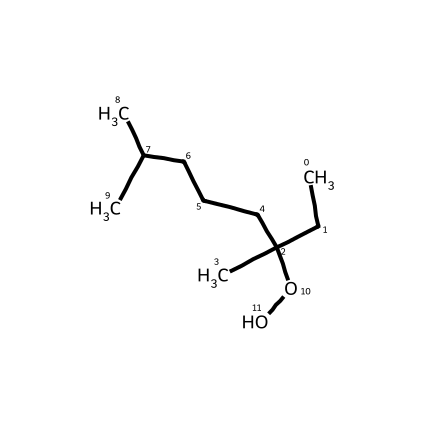 CCC(C)(CCCC(C)C)OO